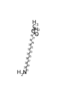 C[C@H](I)OC(=O)CCCCCCCCCCCCCCCCN